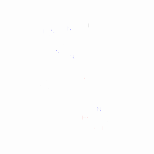 Cc1cc2c(nc(CCC3CC3)n2CCOCCCN2CCCS2(O)O)c(N)n1